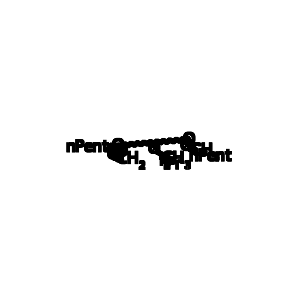 C=C=C=C=CC(CCCCC)CCOC(=O)CCCCCCCCCC(CCCCCCCCCC(=O)OCCC(C)CCCCC)OCCCCN(C)C(C)C